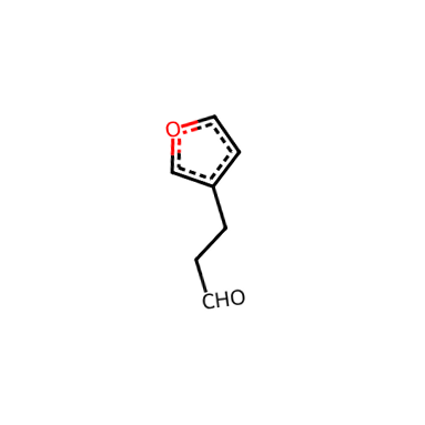 O=CCCc1ccoc1